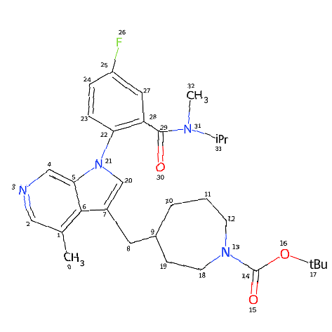 Cc1cncc2c1c(CC1CCCN(C(=O)OC(C)(C)C)CC1)cn2-c1ccc(F)cc1C(=O)N(C)C(C)C